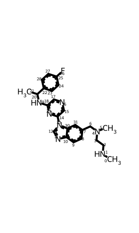 CNCCN(C)Cc1ccc2ncn(-c3cncc(NC(C)c4ccc(F)cc4)n3)c2c1